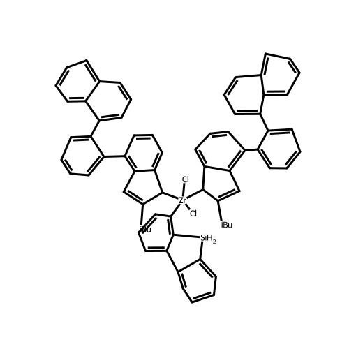 CCC(C)C1=Cc2c(-c3ccccc3-c3cccc4ccccc34)cccc2[CH]1[Zr]([Cl])([Cl])([c]1cccc2c1[SiH2]c1ccccc1-2)[CH]1C(C(C)CC)=Cc2c(-c3ccccc3-c3cccc4ccccc34)cccc21